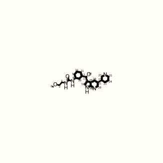 COCCNC(=O)Nc1cccc(C(=O)c2c[nH]c3ncc(-c4cccnc4)cc23)c1